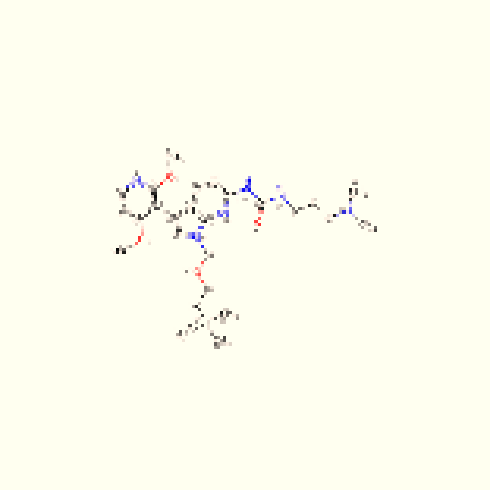 COc1ccnc(OC)c1-c1cn(COCC[Si](C)(C)C)c2nc(NC(=O)NCCCN(C)C)ccc12